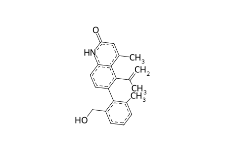 C=C(C)c1c(-c2c(C)cccc2CO)ccc2[nH]c(=O)cc(C)c12